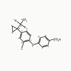 O=C(O)c1ccc(Oc2ccc(C3(C(F)(F)C(F)(F)F)CC3)cc2F)cc1